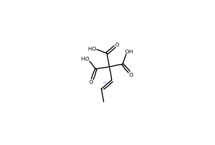 C/C=C/C(C(=O)O)(C(=O)O)C(=O)O